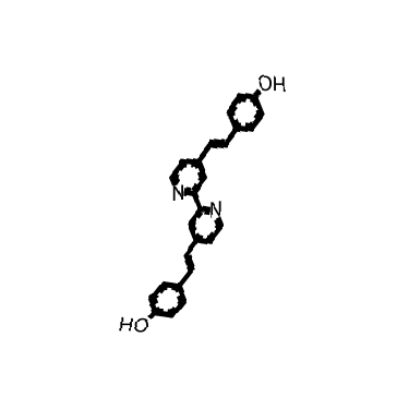 Oc1ccc(/C=C/c2ccnc(-c3cc(/C=C/c4ccc(O)cc4)ccn3)c2)cc1